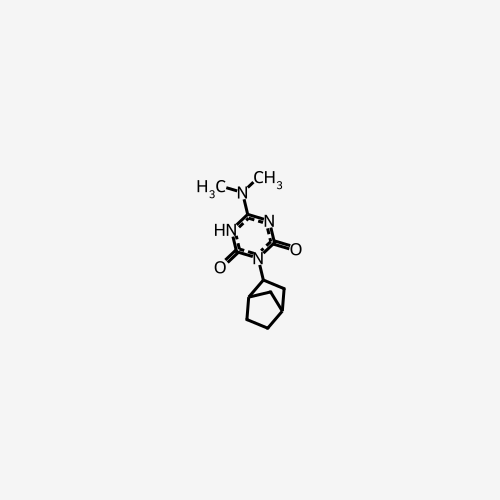 CN(C)c1nc(=O)n(C2CC3CCC2C3)c(=O)[nH]1